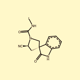 N#C[C@@H]1C[C@@]2(CN1C(=O)NI)C(=O)Nc1ccccc12